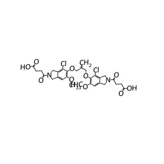 C=C(COc1c(OC)cc2c(c1Cl)CN(C(=O)CCC(=O)O)C2)COc1c(OC)cc2c(c1Cl)CN(C(=O)CCC(=O)O)C2